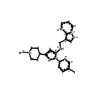 Cc1ccc(-n2nc(C3CCN(C(C)C)CC3)cc2NCc2cnn3cccnc23)nc1